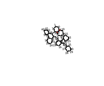 c1ccc(-c2c(N(c3ccccc3)c3cccc4c3c3ccccc3n4-c3ccccc3)c3ccccc3c3ccccc23)cc1